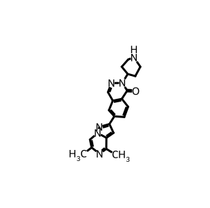 Cc1cn2nc(-c3ccc4c(=O)n(C5CCNCC5)ncc4c3)cc2c(C)n1